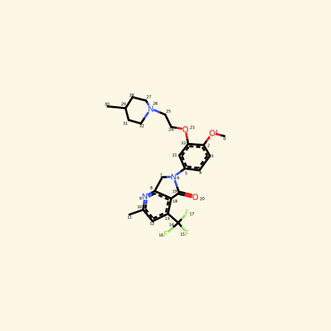 COc1ccc(N2Cc3nc(C)cc(C(F)(F)F)c3C2=O)cc1OCCN1CCC(C)CC1